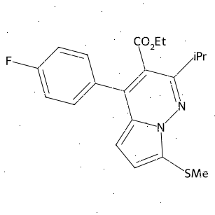 CCOC(=O)c1c(C(C)C)nn2c(SC)ccc2c1-c1ccc(F)cc1